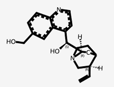 C=C[C@H]1CN2CCC1C[C@@H]2[C@@H](O)c1ccnc2ccc(CO)cc12